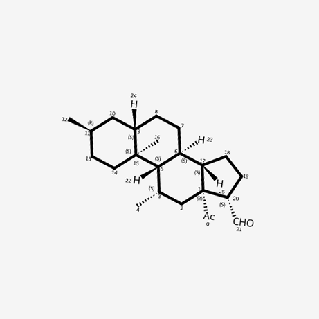 CC(=O)[C@]12C[C@H](C)[C@H]3[C@@H](CC[C@H]4C[C@H](C)CC[C@@]43C)[C@@H]1CC[C@@H]2C=O